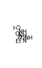 CCC(ONC(=O)Nc1cccc(I)c1)c1c[nH]cn1